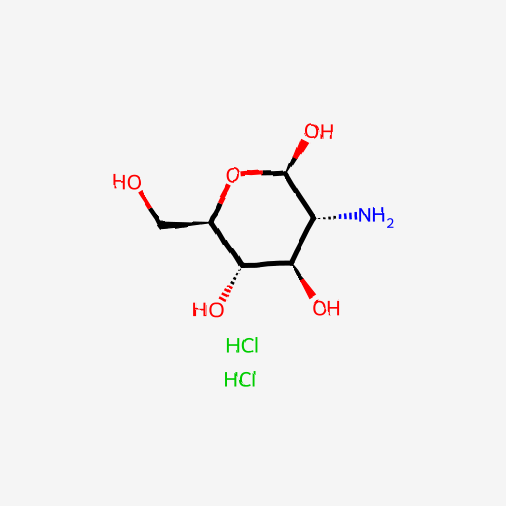 Cl.Cl.N[C@@H]1[C@@H](O)[C@H](O)[C@@H](CO)O[C@H]1O